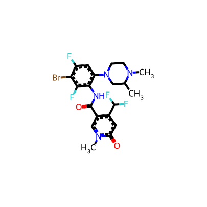 CC1CN(c2cc(F)c(Br)c(F)c2NC(=O)c2cn(C)c(=O)cc2C(F)F)CCN1C